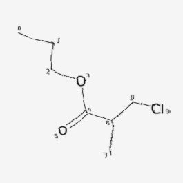 CCCOC(=O)C(C)CCl